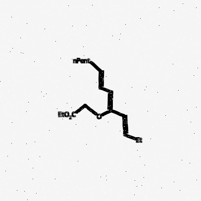 CC/C=C/C(=C/C=C/CCCCC)OCC(=O)OCC